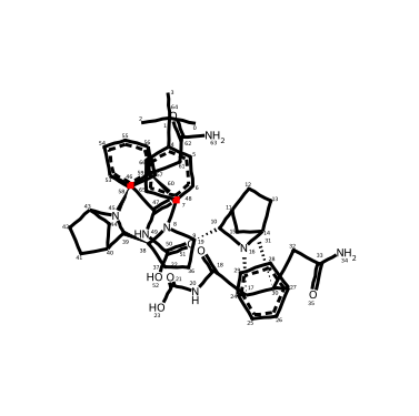 CC(C)(C)c1ccc(N2[C@H](C3C4CCC(C4)N3[C@@]3(C(=O)NC(=O)O)c4ccc(cc4)[C@]3(C)CC(N)=O)CC[C@H]2C2C3CCC(C3)N2[C@@]2(C(=O)NC(=O)O)c3ccc(cc3)[C@]2(C)CC(N)=O)cc1